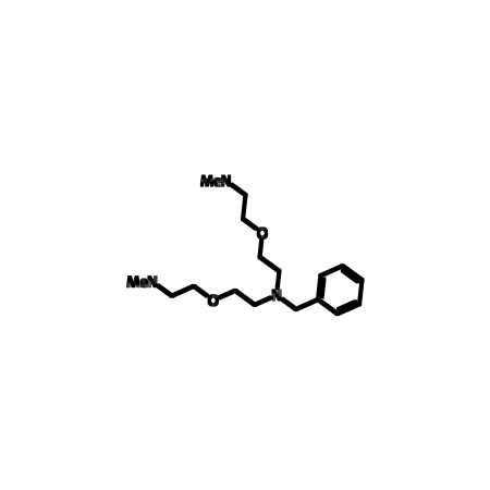 CNCCOCCN(CCOCCNC)Cc1ccccc1